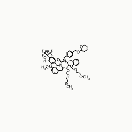 COCCOCOC1C(OCOCCOC)[C@@H](Cc2ccccc2)N(Cc2ccc(COC3CCCCO3)cc2)C(=O)N(Cc2ccc(C(O)(C(F)(F)F)C(F)(F)F)cc2OC)C1Cc1ccccc1